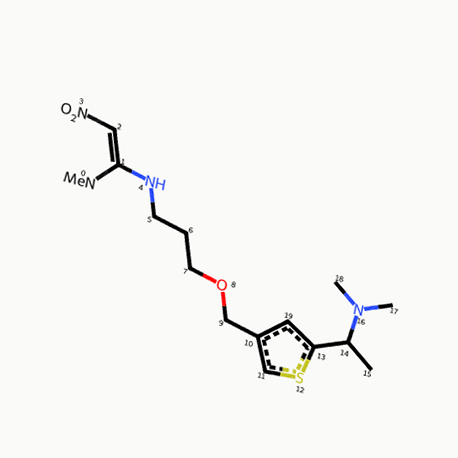 CN/C(=C\[N+](=O)[O-])NCCCOCc1csc(C(C)N(C)C)c1